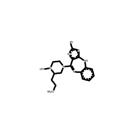 CCCN1CCN(C2=Nc3ccccc3Nc3sc(C(C)C)nc32)CC1CCOC